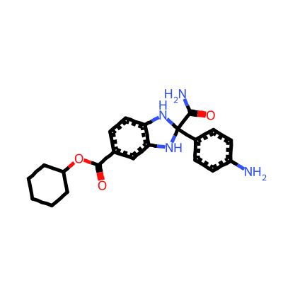 NC(=O)C1(c2ccc(N)cc2)Nc2ccc(C(=O)OC3CCCCC3)cc2N1